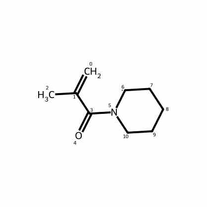 C=C(C)C(=O)N1[CH]CCCC1